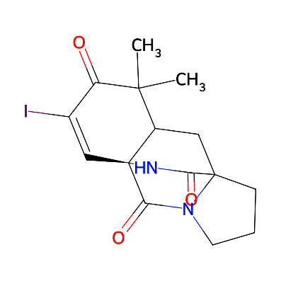 CC1(C)C(=O)C(I)=C[C@@]23NC(=O)C4(CCCN4C2=O)CC13